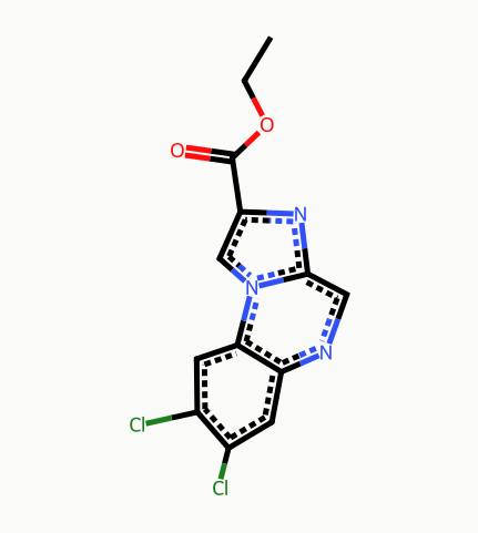 CCOC(=O)c1cn2c(cnc3cc(Cl)c(Cl)cc32)n1